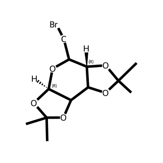 CC1(C)OC2C3OC(C)(C)O[C@H]3C(CBr)O[C@@H]2O1